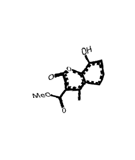 COC(=O)c1c(C)c2cccc(O)c2oc1=O